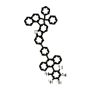 [2H]c1c([2H])c([2H])c(-c2c3ccccc3c(-c3ccc(-c4ccc5oc6c7c(ccc6c5c4)C(c4ccccc4)(c4ccccc4)c4ccc5ccccc5c4-7)cc3)c3ccccc23)c([2H])c1[2H]